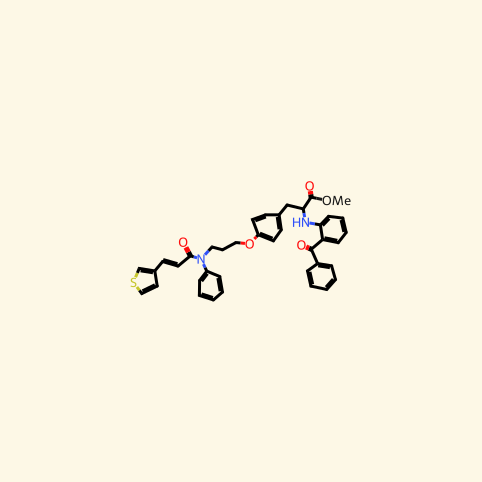 COC(=O)C(Cc1ccc(OCCCN(C(=O)C=Cc2ccsc2)c2ccccc2)cc1)Nc1ccccc1C(=O)c1ccccc1